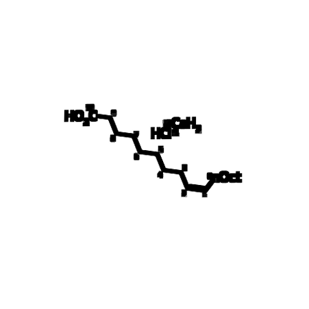 CCCCCCCC/C=C\CCCCCCCC(=O)O.Cl.[CaH2]